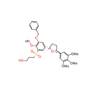 CCCOc1c(OCc2ccccc2)cc([C@@H]2CC[C@@H](c3cc(OC)c(OC)c(OC)c3)O2)cc1S(=O)(=O)CCCO